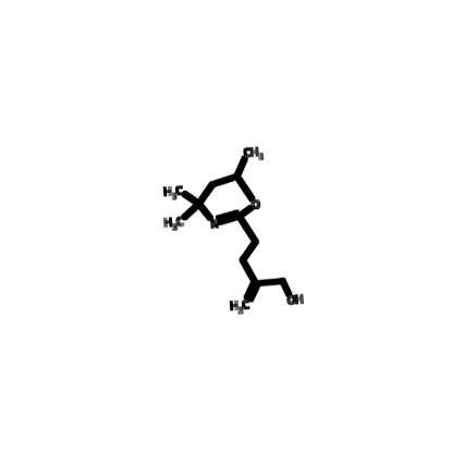 C=C(CO)CCC1=NC(C)(C)CC(C)O1